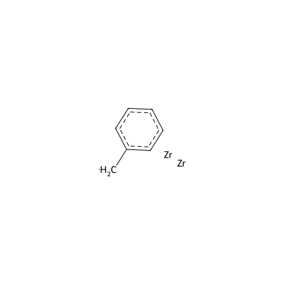 [CH2]c1ccccc1.[Zr].[Zr]